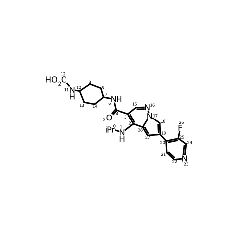 CC(C)Nc1c(C(=O)NC2CCC(NC(=O)O)CC2)cnn2cc(-c3ccncc3F)cc12